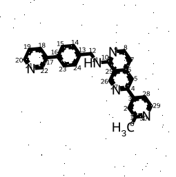 Cc1cc(-c2cc3ccnc(NCc4ccc(-c5cccnc5)cc4)c3cn2)ccn1